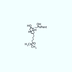 CCCCC[C@@H](O)CC[C@@H]1[C@H]2CC(CCCCC(=O)N(C)C)=C[C@H]2C[C@H]1O